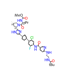 COC(=O)N[C@H](C(=O)N1C[C@@H](C)C[C@H]1c1nc(-c2ccc(-c3cc(F)c(NC(=O)c4ccc(NCCNC(=O)C(C)(C)C)nc4)cc3Cl)cc2)c[nH]1)C(C)C